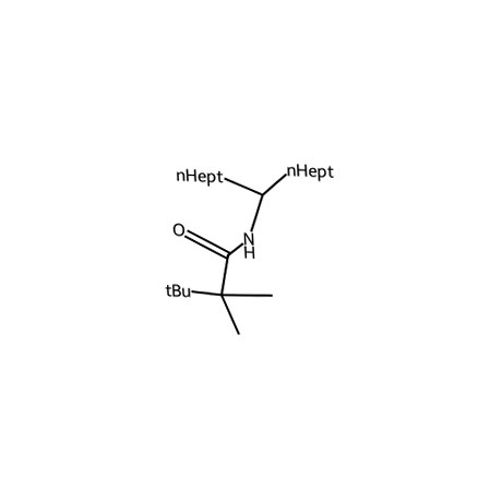 CCCCCCCC(CCCCCCC)NC(=O)C(C)(C)C(C)(C)C